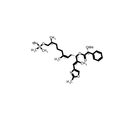 CO[C@@H](C(=O)O[C@@H](C/C=C(/C)CCC[C@H](C)CO[Si](C)(C)C(C)(C)C)/C(C)=C/c1coc(C)n1)c1ccccc1